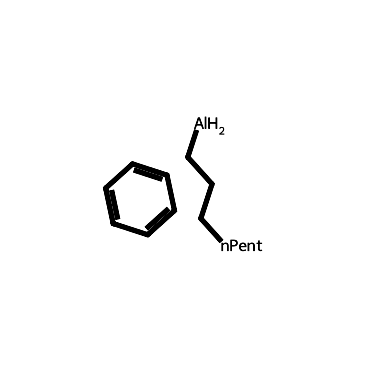 CCCCCCC[CH2][AlH2].c1ccccc1